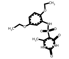 CCOc1ccc(OCC)c(NS(=O)(=O)c2c(C)[nH]c(=O)[nH]c2=O)c1